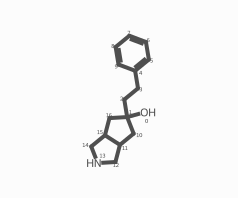 OC1(CCc2ccccc2)CC2CNCC2C1